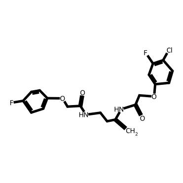 C=C(CCNC(=O)COc1ccc(F)cc1)NC(=O)COc1ccc(Cl)c(F)c1